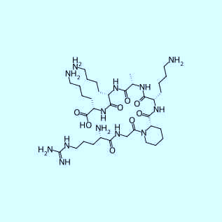 C[C@H](NC(=O)[C@H](CCCCN)NC(=O)[C@@H]1CCCCN1C(=O)CNC(=O)[C@@H](N)CCCNC(=N)N)C(=O)N[C@@H](CCCCN)C(=O)N[C@@H](CCCCN)C(=O)O